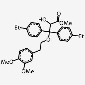 CCc1ccc(C(OCCc2ccc(OC)c(OC)c2)(c2ccc(CC)cc2)C(O)C(=O)OC)cc1